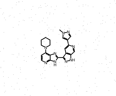 Cn1cc(-c2cc3c(-c4nc5c(N6CCCCC6)ccnc5[nH]4)n[nH]c3cn2)cn1